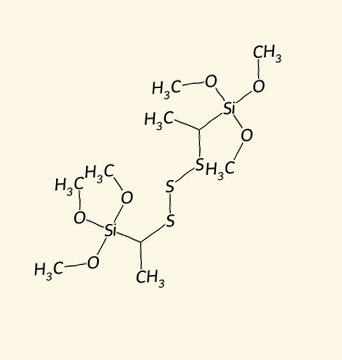 CO[Si](OC)(OC)C(C)SSSC(C)[Si](OC)(OC)OC